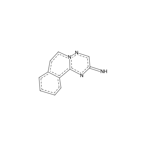 N=c1cnn2ccc3ccccc3c2n1